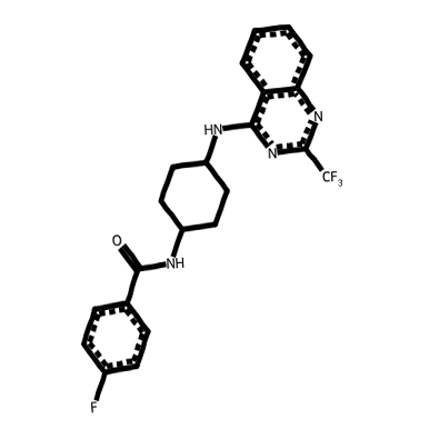 O=C(NC1CCC(Nc2nc(C(F)(F)F)nc3ccccc23)CC1)c1ccc(F)cc1